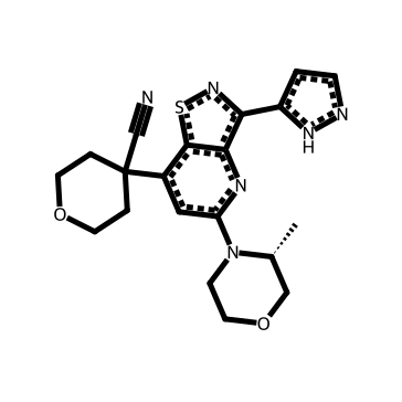 C[C@@H]1COCCN1c1cc(C2(C#N)CCOCC2)c2snc(-c3ccn[nH]3)c2n1